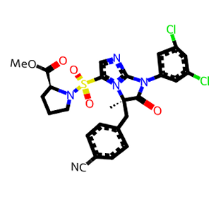 COC(=O)[C@@H]1CCCN1S(=O)(=O)c1cnc2n1[C@](C)(Cc1ccc(C#N)cc1)C(=O)N2c1cc(Cl)cc(Cl)c1